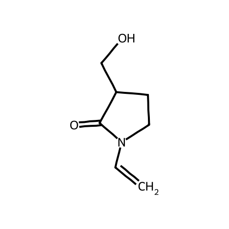 C=CN1CCC(CO)C1=O